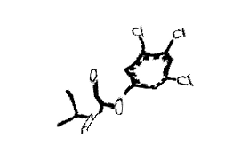 CC(C)NC(=O)Oc1cc(Cl)c(Cl)c(Cl)c1